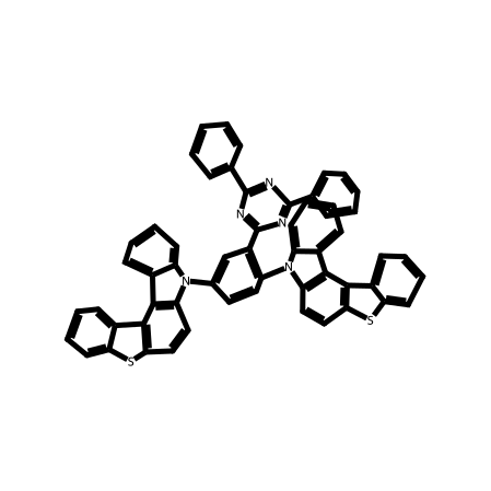 c1ccc(-c2nc(-c3ccccc3)nc(-c3cc(-n4c5ccccc5c5c6c(ccc54)sc4ccccc46)ccc3-n3c4ccccc4c4c5c(ccc43)sc3ccccc35)n2)cc1